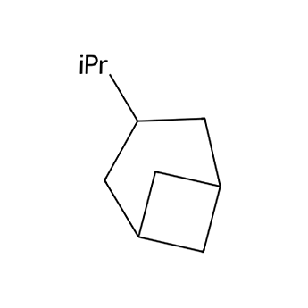 CC(C)C1CC2CC(C2)C1